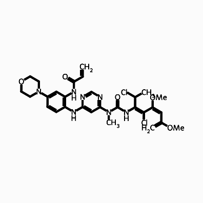 C=CC(=O)Nc1cc(N2CCOCC2)ccc1Nc1cc(N(C)C(=O)N/C(=C(Cl)/C(=C\C(=C)OC)OC)C(C)Cl)ncn1